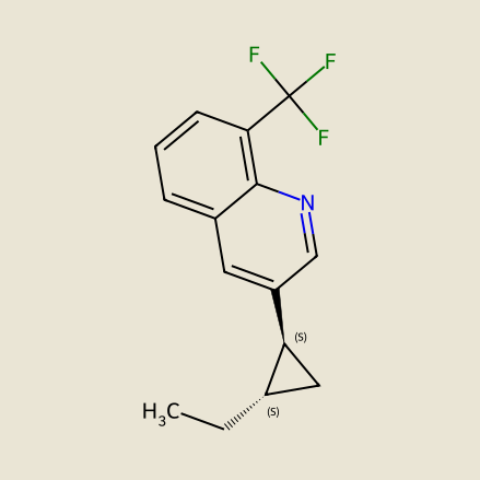 CC[C@H]1C[C@@H]1c1cnc2c(C(F)(F)F)cccc2c1